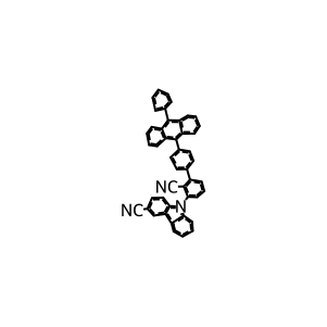 N#Cc1ccc2c(c1)c1ccccc1n2-c1cccc(-c2ccc(-c3c4ccccc4c(-c4ccccc4)c4ccccc34)cc2)c1C#N